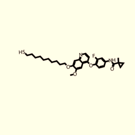 COc1cc2c(Oc3ccc(NC(=O)C4(C)CC4)cc3F)ccnc2cc1OCCCCCCCCCCS